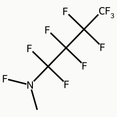 CN(F)C(F)(F)C(F)(F)C(F)(F)C(F)(F)F